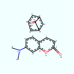 CN(C)c1ccc2ccc(=O)oc2c1.O=C1c2cccc1c2